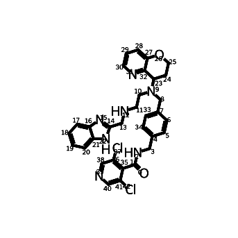 O=C(NCc1ccc(CN(CCNCc2nc3ccccc3[nH]2)C2CCOc3cccnc32)cc1)c1c(Cl)cncc1Cl